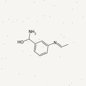 CC=Nc1cccc(C(N)O)c1